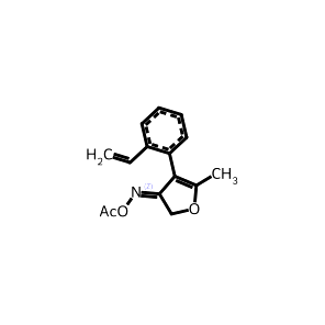 C=Cc1ccccc1C1=C(C)OC/C1=N\OC(C)=O